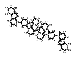 c1ccc([Si](c2ccccc2)(c2cccc3c2oc2ccc(-c4nccc5c4sc4ccccc45)cc23)c2cccc3c2sc2ccc(-c4nccc5c4sc4ccccc45)cc23)cc1